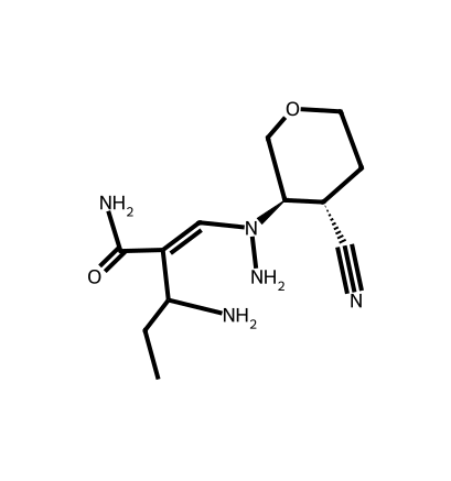 CCC(N)/C(=C\N(N)[C@H]1COCC[C@@H]1C#N)C(N)=O